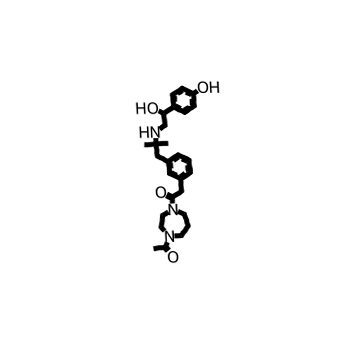 CC(=O)N1CCCN(C(=O)Cc2cccc(CC(C)(C)NCC(O)c3ccc(O)cc3)c2)CC1